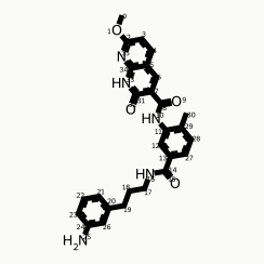 COc1ccc2cc(C(=O)Nc3cc(C(=O)NCCCc4cccc(N)c4)ccc3C)c(=O)[nH]c2n1